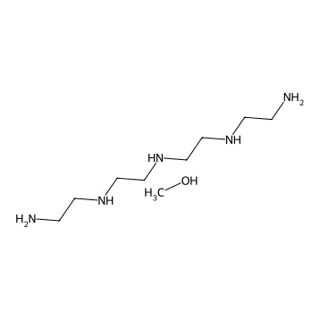 CO.NCCNCCNCCNCCN